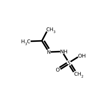 C=S(=O)(O)NN=C(C)C